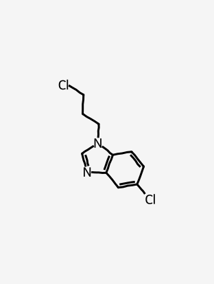 ClCCCn1cnc2cc(Cl)ccc21